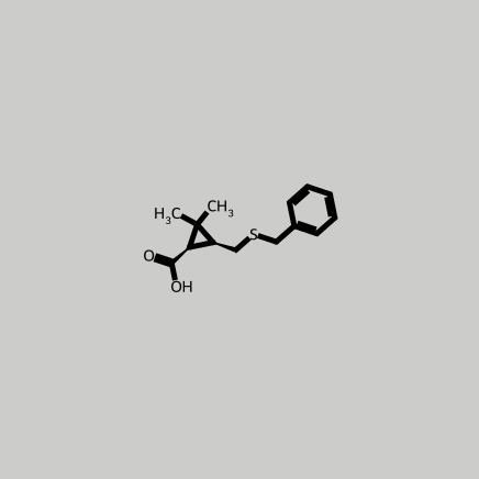 CC1(C)[C@H](C(=O)O)[C@@H]1CSCc1ccccc1